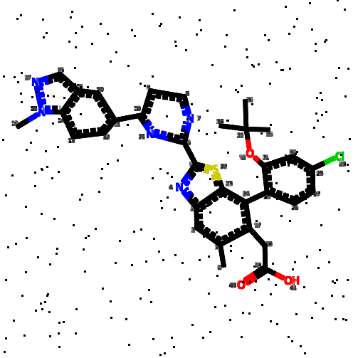 Cc1cc2nc(-c3nccc(-c4ccc5c(cnn5C)c4)n3)sc2c(-c2ccc(Cl)cc2OC(C)(C)C)c1CC(=O)O